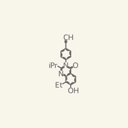 C#Cc1ccc(-n2c(C(C)C)nc3c(CC)c(O)ccc3c2=O)cc1